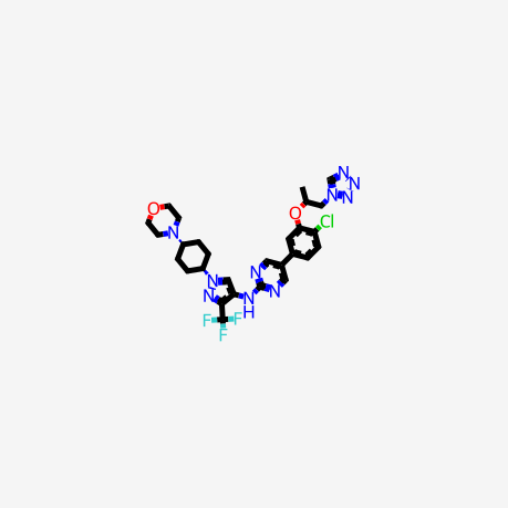 CC(Cn1cnnn1)Oc1cc(-c2cnc(Nc3cn([C@H]4CC[C@H](N5CCOCC5)CC4)nc3C(F)(F)F)nc2)ccc1Cl